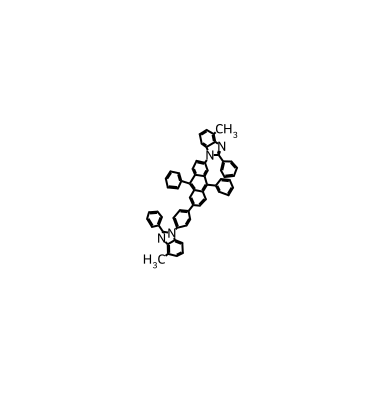 Cc1cccc2c1nc(-c1ccccc1)n2-c1ccc(-c2ccc3c(-c4ccccc4)c4cc(-n5c(-c6ccccc6)nc6c(C)cccc65)ccc4c(-c4ccccc4)c3c2)cc1